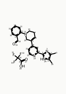 Cc1nc(-c2cc(C3=CCCN(c4ccccc4C=O)C3)ccn2)[nH]c1C.O=C(O)C(F)(F)F